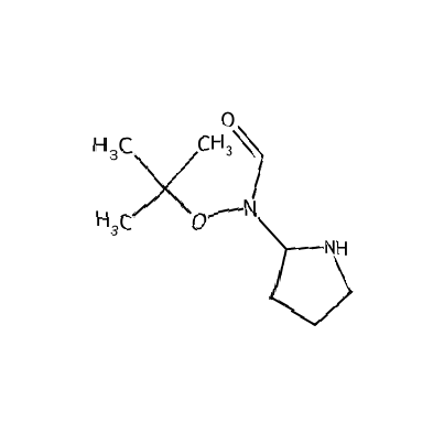 CC(C)(C)ON(C=O)C1CCCN1